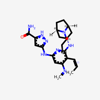 C=Nc1cc(Nc2cc(C(N)=O)[nH]n2)nc(N[C@@H]2C[C@H]3CC[C@@H](C2)N3CCC#N)c1/C=C\C